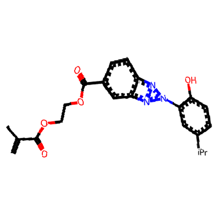 C=C(C)C(=O)OCCOC(=O)c1ccc2c(c1)n1n(-c3cc(C(C)C)ccc3O)n21